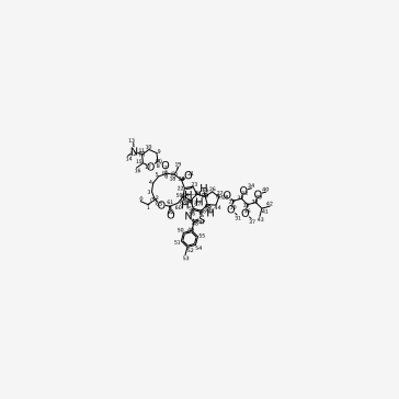 CC[C@H]1CCC[C@H](O[C@H]2CC[C@H](N(C)C)C(C)O2)[C@@H](C)C(=O)C2=C[C@H]3[C@@H]4C[C@H](OC(OC)C(OC)C(OC)C(OC)C(C)C)C[C@H]4c4sc(-c5ccc(C)cc5)nc4[C@H]3[C@@H]2CC(=O)O1